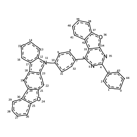 c1ccc(-c2nc(-c3ccc(-n4c5ccccc5c5cc6c(cc54)oc4ccccc46)cc3)c3c(n2)oc2ccccc23)cc1